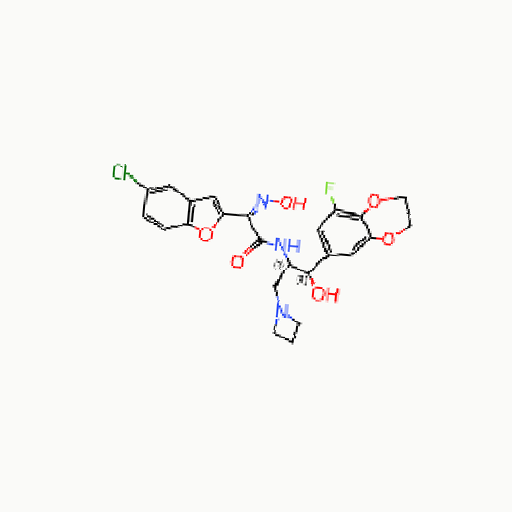 O=C(N[C@H](CN1CCC1)[C@H](O)c1cc(F)c2c(c1)OCCO2)C(=NO)c1cc2cc(Cl)ccc2o1